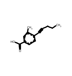 CCCC#Cc1ccc(C(=O)O)cc1C